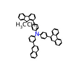 CC1(C)c2ccccc2-c2cccc(-c3ccc(N(c4ccc(-c5cc6ccccc6c6ccccc56)cc4)c4cccc(-c5ccc6ccccc6c5)c4)cc3)c21